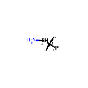 CC(C)C(C)(C)BN